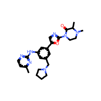 Cc1ccnc(Nc2cc(CN3CCCC3)cc(-c3cnc(N4CCN(C)C(C)C4=O)o3)c2)n1